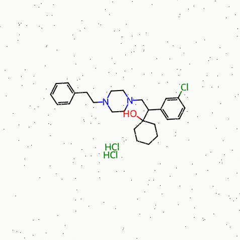 Cl.Cl.OC1(C(CN2CCN(CCc3ccccc3)CC2)c2cccc(Cl)c2)CCCCC1